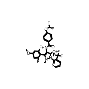 COc1cc(F)c(C2=C(NC(=O)c3ccc(OC(F)F)cc3)C(O)N(c3ncccc3C(F)(F)F)N2C)c(F)c1